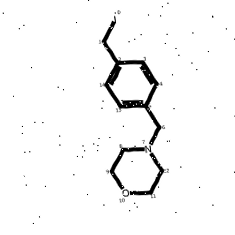 ICc1ccc(CN2CCOCC2)cc1